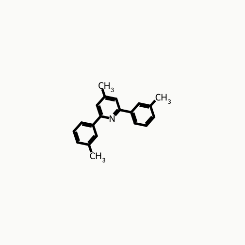 Cc1cccc(-c2cc(C)cc(-c3cccc(C)c3)n2)c1